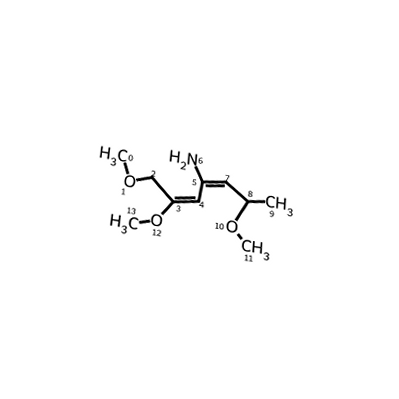 COC/C(=C\C(N)=C/C(C)OC)OC